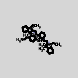 CCN1/C(=C/C=C2\CCCC(/C=C/C3=[N+](CC)c4ccccc4C3(C)C)=C2Nc2ccc(CCN)cc2)C(C)(C)c2ccccc21